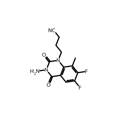 Cc1c(F)c(F)cc2c(=O)n(N)c(=O)n(CCCC#N)c12